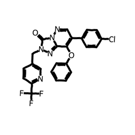 O=c1n(Cc2ccc(C(F)(F)F)nc2)nc2c(Oc3ccccc3)c(-c3ccc(Cl)cc3)cnn12